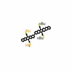 CCCCSC#Cc1c2cc3ccc(-c4ccc5cc6c(C#CSPC)c7cc8ccccc8cc7c(C#CSPC)c6cc5c4)cc3cc2c(C#CSCCCC)c2cc3cc4ccccc4cc3cc12